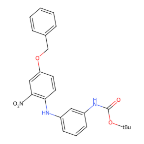 CC(C)(C)OC(=O)Nc1cccc(Nc2ccc(OCc3ccccc3)cc2[N+](=O)[O-])c1